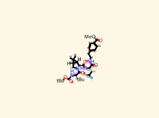 COC(=O)c1ccc(CCNC(=O)[C@H](CC(F)F)NC(=O)[C@@H]2[C@@H]3[C@H](CN2C(=O)[C@@H](NC(=O)OC(C)(C)C)C(C)(C)C)C3(C)C)cc1